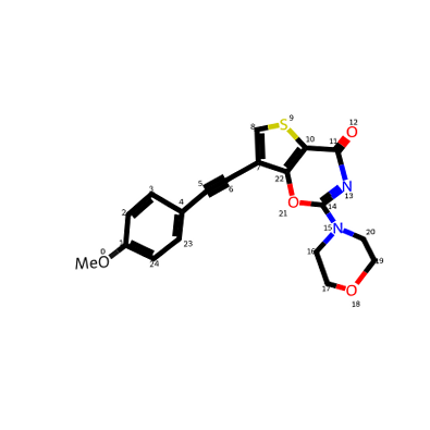 COc1ccc(C#Cc2csc3c(=O)nc(N4CCOCC4)oc23)cc1